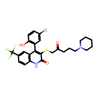 O=C(CCCN1CCCCC1)CSc1c(-c2cc(Cl)ccc2O)c2cc(C(F)(F)F)ccc2[nH]c1=O